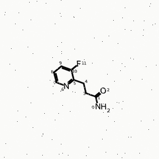 NC(=O)CCc1ncccc1F